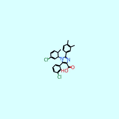 Cc1ccc(-c2nc(C(=O)O)c(-c3cccc(Cl)c3)n2C2C=C(Cl)C=CC2C)cc1C